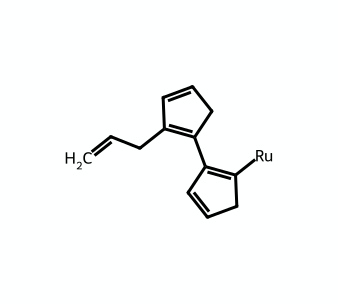 C=CCC1=C(C2=[C]([Ru])CC=C2)CC=C1